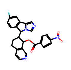 O=C(OC1c2cnccc2CCC1C1c2ccc(F)cc2-c2cncn21)c1ccc([N+](=O)[O-])cc1